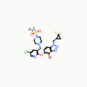 CS(=O)(=O)N1CCN(Cc2cc(Cl)cnc2Oc2ccc3c(nnn3CC3CC3(F)F)c2Br)CC1